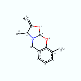 C=C1OB2Oc3c(cccc3C(C)(C)C)CN2C1C(C)C